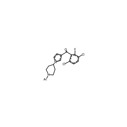 CC(=O)N1CCC(n2ccc(C(=O)c3c(Cl)ccc(Cl)c3F)c2)CC1